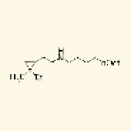 CCCCCCCCCCCCNCCC1CC1(C)CC